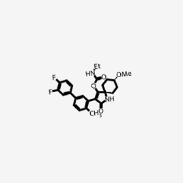 CCNC(=O)OC1=C(c2cc(-c3ccc(F)c(F)c3)ccc2C)C(=O)N[C@]12CC[C@@H](OC)CC2